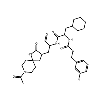 CC(=O)N1CCC2(CC1)CC(CC(C=O)NC(=O)C(CC1CCCCC1)NC(=O)OCc1cccc(Cl)c1)C(=O)N2